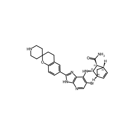 NC(=O)[C@@H]1[C@H](Nc2c(Br)cnc3[nH]c(-c4ccc5c(c4)CCC4(CCNCC4)O5)nc23)[C@H]2C=C[C@@H]1C2